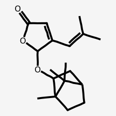 CC(C)=CC1=CC(=O)OC1OC1CC2CCC1(C)C2(C)C